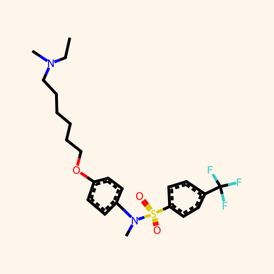 CCN(C)CCCCCCOc1ccc(N(C)S(=O)(=O)c2ccc(C(F)(F)F)cc2)cc1